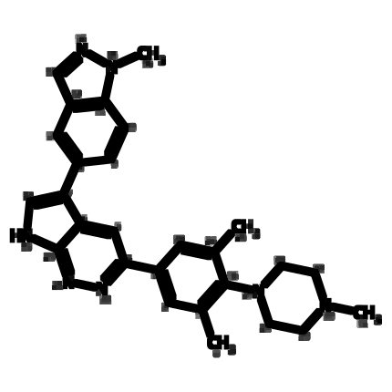 Cc1cc(-c2cc3c(-c4ccc5c(cnn5C)c4)c[nH]c3nn2)cc(C)c1N1CCN(C)CC1